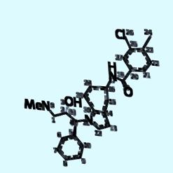 CNC[C@H](O)[C@H](c1ccccc1)n1ccc2cc(NC(=O)c3ccc(C)c(Cl)c3)ccc21